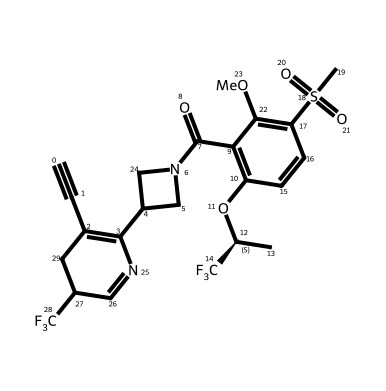 C#CC1=C(C2CN(C(=O)c3c(O[C@@H](C)C(F)(F)F)ccc(S(C)(=O)=O)c3OC)C2)N=CC(C(F)(F)F)C1